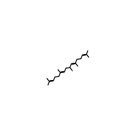 CC(C)=CCC/C(C)=C/CC(I)/C=C(\C)CCC=C(C)C